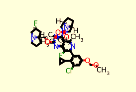 COCOc1cc(Cl)c(C2CC2)c(-c2nc(C)c3c(N4C[C@H]5CC[C@@H](C4)N5C(=O)OC(C)(C)C)nc(OC[C@@]45CCCN4C[C@H](F)C5)nc3c2F)c1